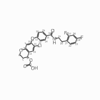 O=C(O)OC1CCOc2cc(Oc3ccc(C(=O)NCCc4ccc(F)cc4F)cc3)c(Cl)cc21